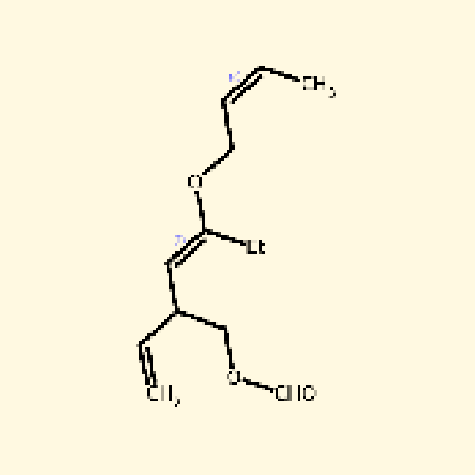 C=CC(/C=C(\CC)OC/C=C\C)COC=O